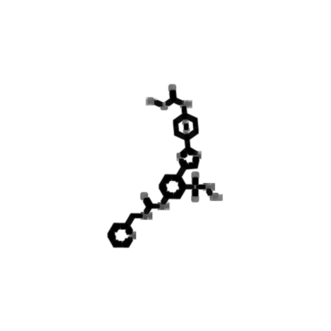 CC(C)OC(=O)NC12CCC(c3ncc(-c4ccc(NC(=O)NCc5ccccn5)cc4S(=O)(=O)NC(C)(C)C)s3)(CC1)CC2